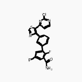 NC(=O)c1cc(F)cc(-c2cccc(-c3ncsc3-c3ccnc(Cl)n3)c2)c1F